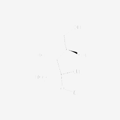 CCO[C@@](C)(C(=O)O)[C@H](O)[C@H](O)CO